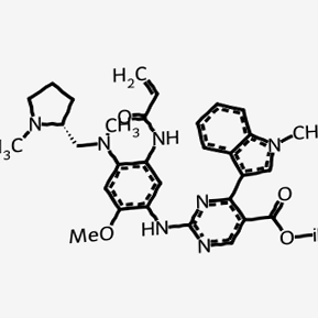 C=CC(=O)Nc1cc(Nc2ncc(C(=O)OC(C)C)c(-c3cn(C)c4ccccc34)n2)c(OC)cc1N(C)C[C@H]1CCCN1C